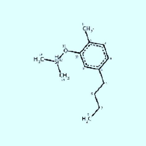 [CH2]c1ccc(CCCC)cc1O[SiH](C)C